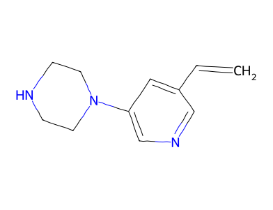 C=Cc1cncc(N2CCNCC2)c1